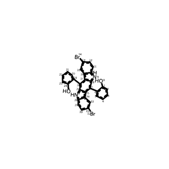 Oc1ccccc1-c1c2[nH]c3ccc(Br)cc3c2c(-c2ccccc2O)c2[nH]c3ccc(Br)cc3c12